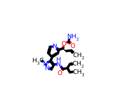 C=CC[C@H](OC(N)=O)c1cc(-c2c(NC(=O)C(C=C)CC)cnn2C)ccn1